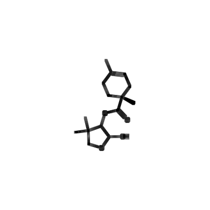 CC1=CC[C@](C)(C(=O)OC2C(O)OCC2(C)C)CC1